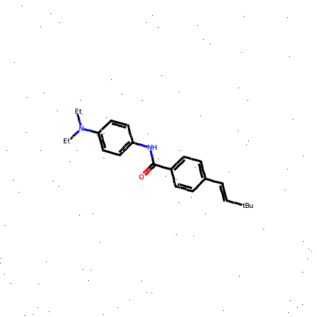 CCN(CC)c1ccc(NC(=O)c2ccc(/C=C/C(C)(C)C)cc2)cc1